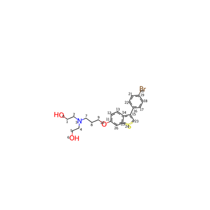 OCCN(CCO)CCCOc1ccc2c(-c3ccc(Br)cc3)csc2c1